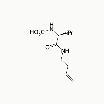 C=CCCNC(=O)[C@@H](NC(=O)O)C(C)C